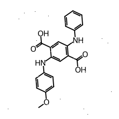 COc1ccc(Nc2cc(C(=O)O)c(Nc3ccccc3)cc2C(=O)O)cc1